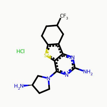 Cl.Nc1nc(N2CC[C@@H](N)C2)c2sc3c(c2n1)CC(C(F)(F)F)CC3